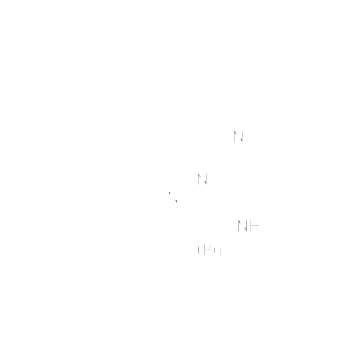 C=C/C=C\N(C)n1c(NC(C)(C)C)cnc1C=C